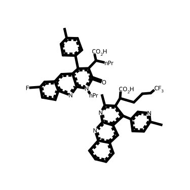 CCCC(C(=O)O)c1c(-c2ccc(C)cc2)c2cc3cc(F)ccc3nc2n(CCC)c1=O.Cc1ccc(-c2c(C(CCCC(F)(F)F)C(=O)O)c(C)nc3nc4ccccc4cc23)cn1